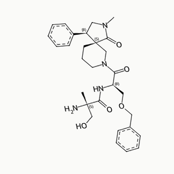 CN1C[C@H](c2ccccc2)[C@]2(CCCN(C(=O)[C@@H](COCc3ccccc3)NC(=O)[C@@](C)(N)CO)C2)C1=O